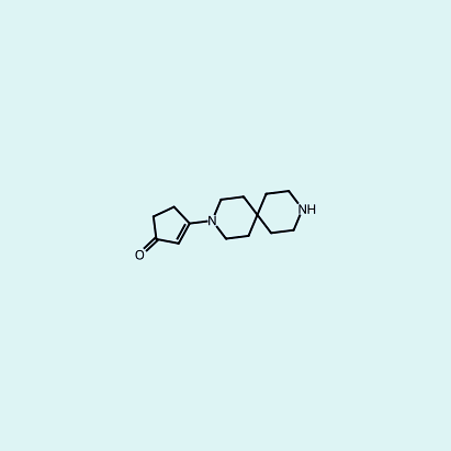 O=C1C=C(N2CCC3(CCNCC3)CC2)CC1